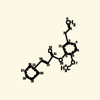 C=CCc1ccc(OC)c(OC(=O)/C=C/c2ccccc2)c1